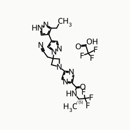 CCc1n[nH]cc1-c1cnn(C2(CC#N)CN(c3cnc(C(=O)N[C@@H](C)C(F)(F)F)cn3)C2)c1.O=C(O)C(F)(F)F